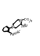 CCCCC1CN(c2ccccc2NC(C)=O)CCN1C(=O)O